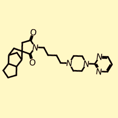 O=C1CC2(CC3CC2C2CCCC32)C(=O)N1CCCCN1CCN(c2ncccn2)CC1